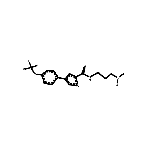 C[S+]([O-])CCCNC(=O)c1cc(-c2ccc(OC(F)(F)F)cc2)cs1